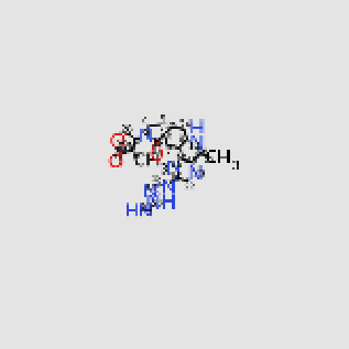 CC1=C(N2CC[C@]3(CC[C@@H](N[C@H](C)c4cnc(N/C=N\N=N)cn4)CC3)C2=O)COC1=O